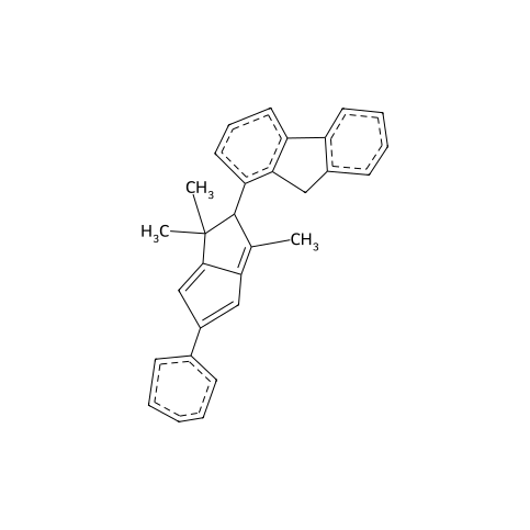 CC1=C2C=C(c3ccccc3)C=C2C(C)(C)C1c1cccc2c1Cc1ccccc1-2